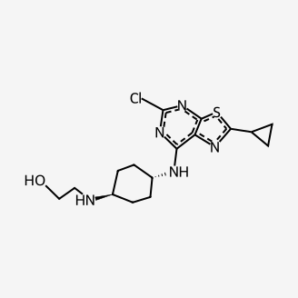 OCCN[C@H]1CC[C@H](Nc2nc(Cl)nc3sc(C4CC4)nc23)CC1